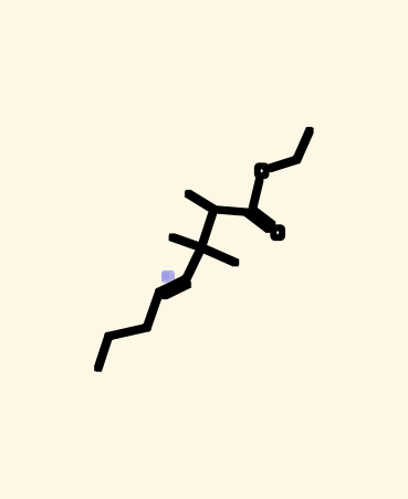 CCC/C=C/C(C)(C)C(C)C(=O)OCC